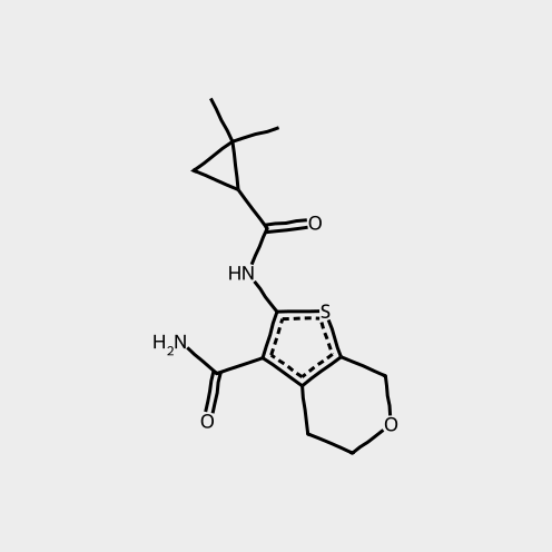 CC1(C)CC1C(=O)Nc1sc2c(c1C(N)=O)CCOC2